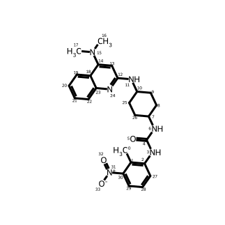 Cc1c(NC(=O)NC2CCC(Nc3cc(N(C)C)c4ccccc4n3)CC2)cccc1[N+](=O)[O-]